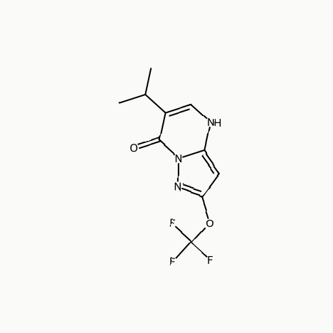 CC(C)c1c[nH]c2cc(OC(F)(F)F)nn2c1=O